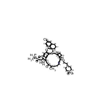 CN1CC/C=C/[C@H](OCCN2CCS(=O)(=O)CC2)[C@@H]2CC[C@H]2CN2C[C@@]3(CCCc4cc(Cl)ccc43)COc3ccc(cc32)[C@@](O)(C(=O)NS(=O)(=O)N(C)C)CC1=O